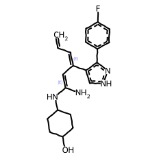 C=C/C=C(\C=C(/N)NC1CCC(O)CC1)c1c[nH]nc1-c1ccc(F)cc1